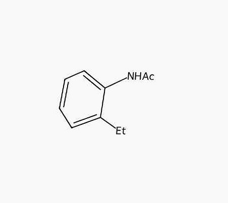 [CH2]Cc1ccccc1NC(C)=O